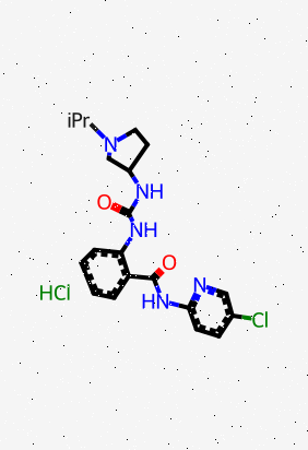 CC(C)N1CCC(NC(=O)Nc2ccccc2C(=O)Nc2ccc(Cl)cn2)C1.Cl